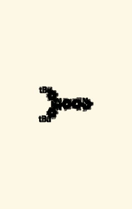 CC(C)(C)c1ccc(-c2nc(-c3ccc(-c4ccc(-c5ccccn5)cc4)cc3)nc(-c3ccc(C(C)(C)C)cc3)n2)cc1